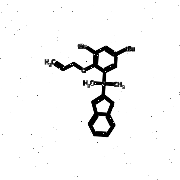 C=CCOc1c(C(C)(C)C)cc(C(C)(C)C)cc1[Si](C)(C)C1=Cc2ccccc2C1